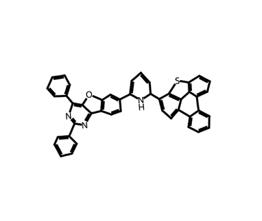 C1=CC(c2ccc3c4ccccc4c4cccc5sc2c3c54)NC(c2ccc3c(c2)oc2c(-c4ccccc4)nc(-c4ccccc4)nc23)=C1